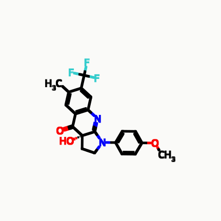 COc1ccc(N2CC[C@@]3(O)C(=O)c4cc(C)c(C(F)(F)F)cc4N=C23)cc1